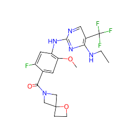 CCNc1nc(Nc2cc(F)c(C(=O)N3CC4(CCO4)C3)cc2OC)ncc1C(F)(F)F